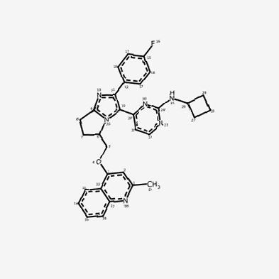 Cc1cc(OCC2CCc3nc(-c4ccc(F)cc4)c(-c4ccnc(NC5CCC5)n4)n32)c2ccccc2n1